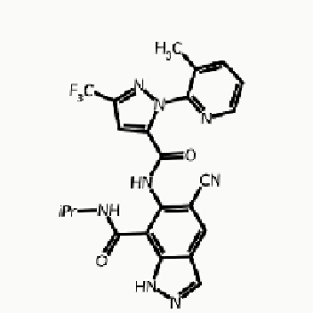 Cc1cccnc1-n1nc(C(F)(F)F)cc1C(=O)Nc1c(C#N)cc2cn[nH]c2c1C(=O)NC(C)C